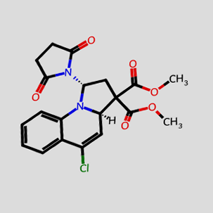 COC(=O)C1(C(=O)OC)C[C@@H](N2C(=O)CCC2=O)N2c3ccccc3C(Cl)=C[C@@H]21